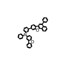 c1ccc(-c2cc3c4ccc(-c5cccc(N(c6ccccc6)c6ccc7oc8ccccc8c7c6)c5)cc4oc3c3ccccc23)cc1